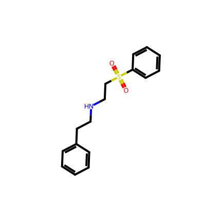 O=S(=O)(CCNCCc1ccccc1)c1ccccc1